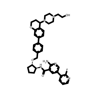 Nc1ncc(-c2cccnc2F)cc1C(=O)N[C@H]1CCC[C@@H]1OCc1ccc(-c2ccc3c(c2)OCCC3N2CCN(CCO)CC2)cc1